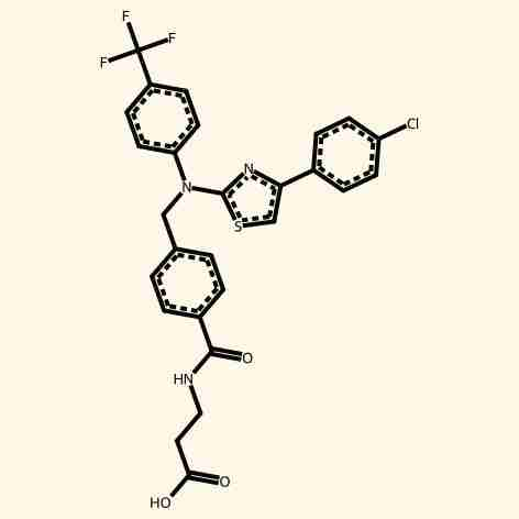 O=C(O)CCNC(=O)c1ccc(CN(c2ccc(C(F)(F)F)cc2)c2nc(-c3ccc(Cl)cc3)cs2)cc1